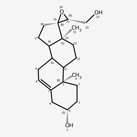 C[C@]12CC[C@H](O)CC1=CCC1C2CC[C@@]2(C)C1CC[C@@]21O[C@@H]1CO